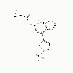 CCCS(=O)(=O)N1CC=C(c2cc(NC(=O)C3CC3)nc3[nH]ccc23)C1